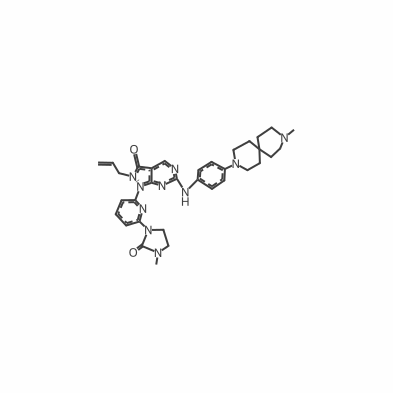 C=CCn1c(=O)c2cnc(Nc3ccc(N4CCC5(CCN(C)CC5)CC4)cc3)nc2n1-c1cccc(N2CCN(C)C2=O)n1